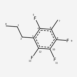 CCCc1c(F)c(C)c(F)c(F)c1F